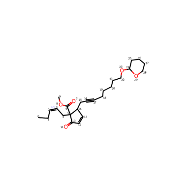 CC/C=C\CC1(C(=O)OC)C(=O)C=CC1CC#CCCCCCOC1CCCCO1